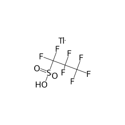 O=S(=O)(O)C(F)(F)C(F)(F)C(F)(F)F.[Tl]